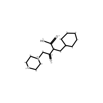 O=C(O)C(CC1CCCCC1)C(=O)CN1CCOCC1